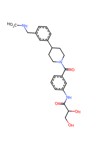 O=C(O)NCc1cccc(C2CCN(C(=O)c3cccc(NC(=O)C(O)CO)c3)CC2)c1